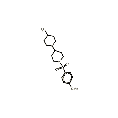 COc1ccc(S(=O)(=O)N2CCC(N3CCC(C)CC3)CC2)cc1